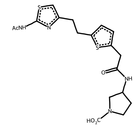 CC(=O)Nc1nc(CCc2ccc(CC(=O)NC3CCN(C(=O)O)C3)s2)cs1